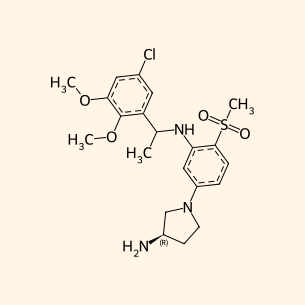 COc1cc(Cl)cc(C(C)Nc2cc(N3CC[C@@H](N)C3)ccc2S(C)(=O)=O)c1OC